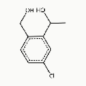 CC(O)c1cc(Cl)ccc1CO